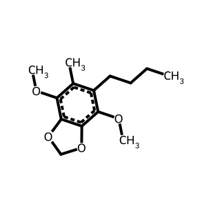 CCCCc1c(C)c(OC)c2c(c1OC)OCO2